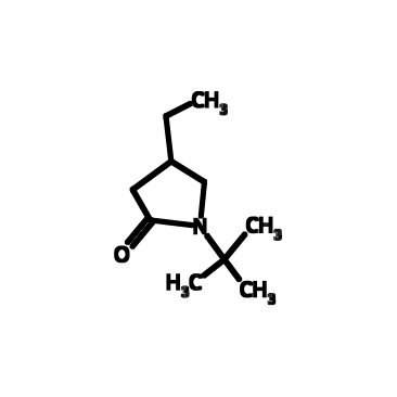 CCC1CC(=O)N(C(C)(C)C)C1